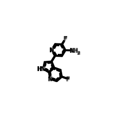 Nc1cc(-c2c[nH]c3ncc(F)cc23)ncc1F